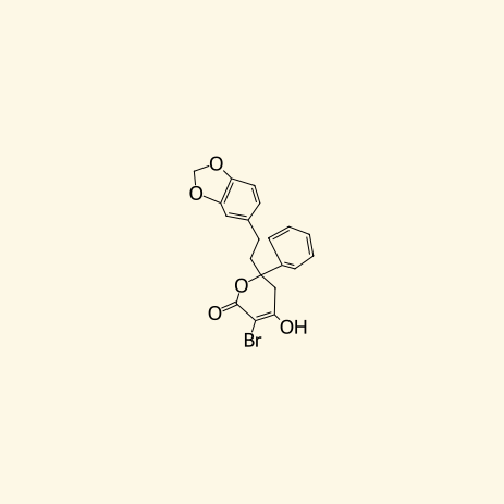 O=C1OC(CCc2ccc3c(c2)OCO3)(c2ccccc2)CC(O)=C1Br